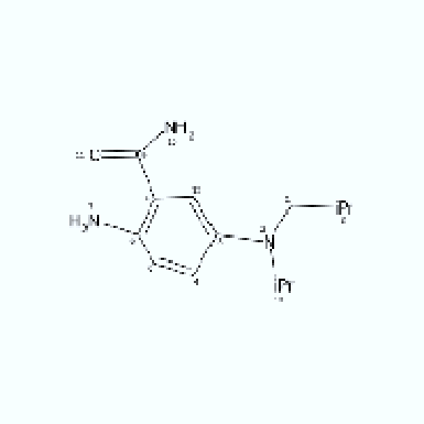 CC(C)CN(c1ccc(N)c(C(N)=O)c1)C(C)C